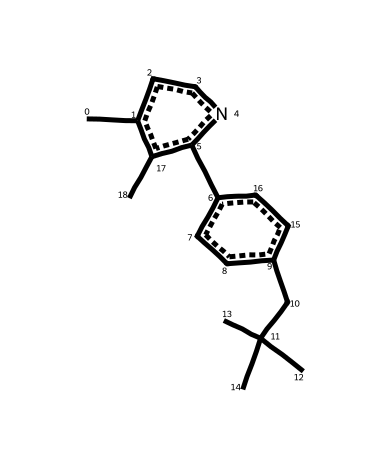 Cc1ccnc(-c2ccc(CC(C)(C)C)cc2)c1C